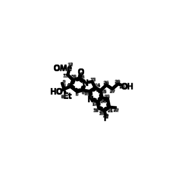 CC[C@](C)(O)c1cc2n(c(=O)c1COC)Cc1c-2nc2cc(F)c(C)cc2c1CCCO